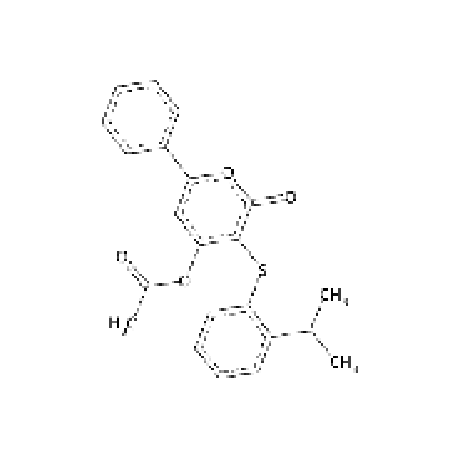 CC(=O)Oc1cc(-c2ccccc2)oc(=O)c1Sc1ccccc1C(C)C